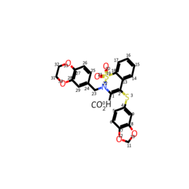 O=C(O)C1=C(Sc2ccc3c(c2)OCO3)c2ccccc2S(=O)(=O)N1Cc1ccc2c(c1)OCCO2